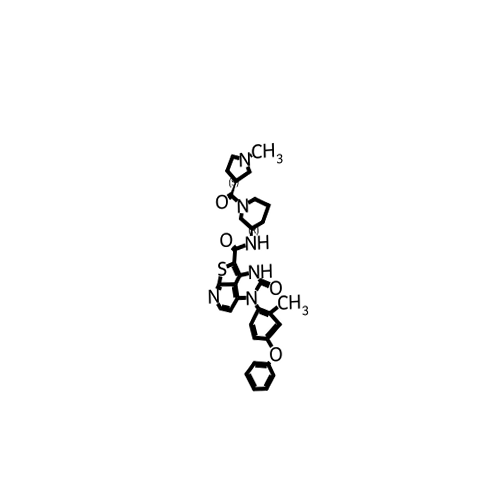 Cc1cc(Oc2ccccc2)ccc1N1C(=O)Nc2c(C(=O)N[C@@H]3CCCN(C(=O)[C@H]4CCN(C)C4)C3)sc3nccc1c23